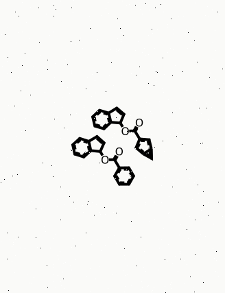 O=C(OC1C=Cc2ccccc21)c1cc2cc-2c1.O=C(OC1C=Cc2ccccc21)c1ccccc1